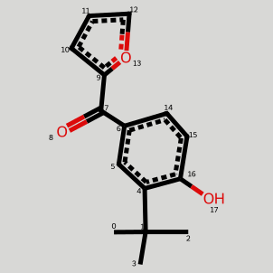 CC(C)(C)c1cc(C(=O)c2ccco2)ccc1O